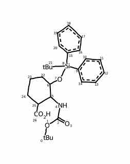 CC(C)(C)OC(=O)NC1C(O[Si](c2ccccc2)(c2ccccc2)C(C)(C)C)CCCC1C(=O)O